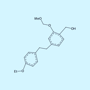 CCOc1ccc(CCc2ccc(CO)c(OCOC)c2)cc1